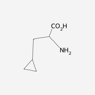 NC(CC1CC1)C(=O)O